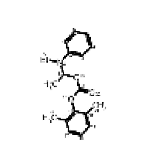 CCN(c1ccccc1)C(C)OC(=O)Oc1c(C)cccc1C